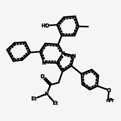 CCCOc1ccc(-c2nn3c(-c4cc(C)ccc4O)cc(-c4ccccc4)nc3c2CC(=O)N(CC)CC)cc1